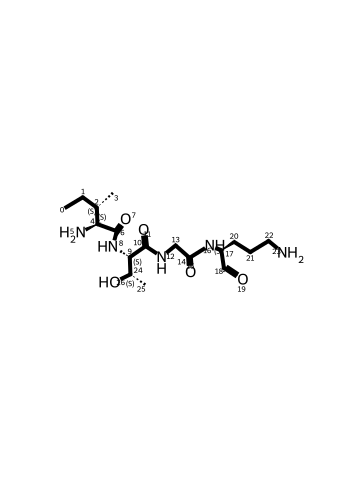 CC[C@H](C)[C@H](N)C(=O)N[C@H](C(=O)NCC(=O)N[C@H]([C]=O)CCCN)[C@H](C)O